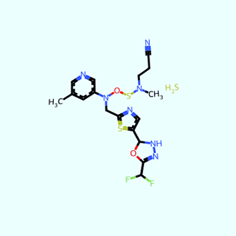 Cc1cncc(N(Cc2ncc(C3NN=C(C(F)F)O3)s2)OSN(C)CCC#N)c1.S